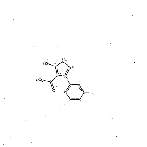 COC(=O)c1c(-c2nccc(C)n2)n[nH]c1S